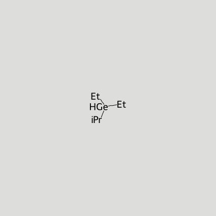 C[CH2][GeH]([CH2]C)[CH](C)C